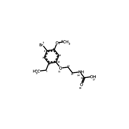 CCc1cc(Br)c(OC)cc1OCCNC(=O)O